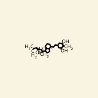 C=C(C)C[C@@H](O)C[C@@H](C)C1CCC2/C(=C/C=C3C[C@@H](O)C(=C)[C@H](O)C3)CCC[C@@]21C